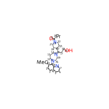 COc1ccc2cccnc2c1N1CCCN(C(CCO)C2CCN(C(=O)C(C)C)CC2)CC1